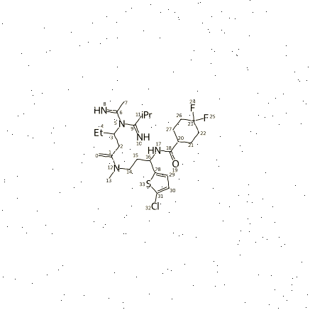 C=C(CC(CC)N(C(C)=N)C(=N)C(C)C)N(C)CCC(NC(=O)C1CCC(F)(F)CC1)c1ccc(Cl)s1